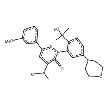 CCN(C)c1cc(-c2cccc(OC)c2)nn(-c2cc(N3CCOCC3)ccc2C(C)(C)O)c1=O